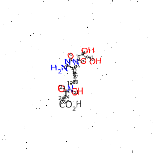 Nc1nc(=O)n([C@H]2C[C@H](O)[C@@H](CO)O2)cc1C#CCCN(O)C(=O)CCC(=O)O